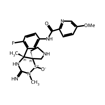 COc1ccc(C(=O)Nc2ccc(F)c([C@@]3(C)NC(=N)N(C)[S+]([O-])[C@@]34CCNC4)c2)nc1